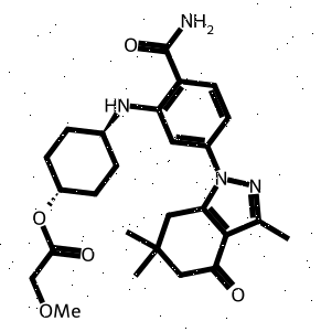 COCC(=O)O[C@H]1CC[C@H](Nc2cc(-n3nc(C)c4c3CC(C)(C)CC4=O)ccc2C(N)=O)CC1